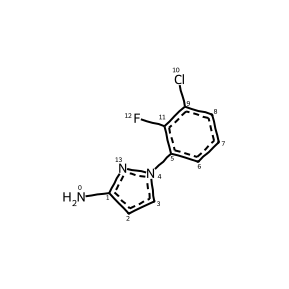 Nc1ccn(-c2cccc(Cl)c2F)n1